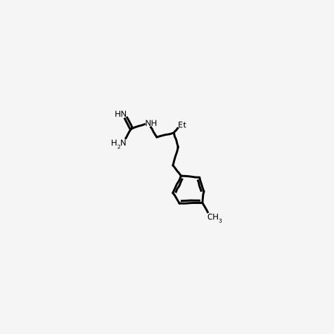 CCC(CCc1ccc(C)cc1)CNC(=N)N